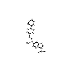 CC(=O)N1CCc2cc(C(O)CCN3CCN(c4ccccn4)CC3)ccc21